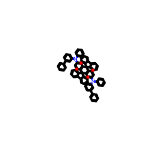 c1ccc(-c2cccc(N(c3ccccc3)c3ccc4c(c3)C3(c5ccccc5-c5ccccc53)c3ccc(N(c5ccccc5)c5cccc(-c6ccccc6)c5)cc3C43c4ccccc4-c4ccccc43)c2)cc1